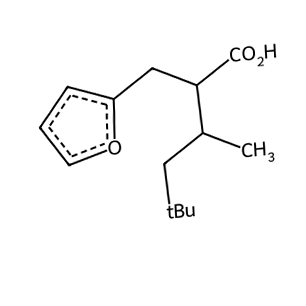 CC(CC(C)(C)C)C(Cc1ccco1)C(=O)O